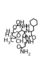 CC(OC(C)(C)C)C(NC(=O)O)C(=O)NC(CC1CCCCC1)C(=O)NNCCC(N)=O